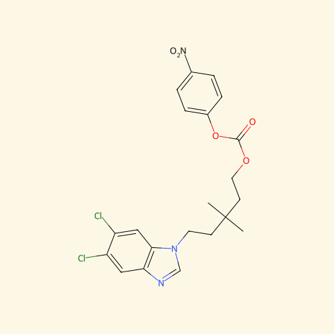 CC(C)(CCOC(=O)Oc1ccc([N+](=O)[O-])cc1)CCn1cnc2cc(Cl)c(Cl)cc21